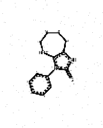 S=c1[nH]c2c(n1-c1ccccc1)NCCCC2